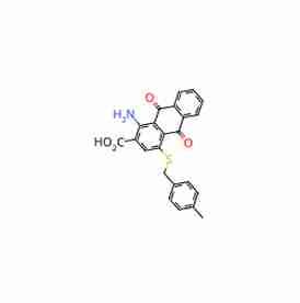 Cc1ccc(CSc2cc(C(=O)O)c(N)c3c2C(=O)c2ccccc2C3=O)cc1